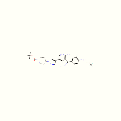 Cn1nc(-c2ccc(NSCC(F)(F)F)c(F)c2)c2c(N)ncc(-c3cnn(C4CCN(C(=O)OC(C)(C)C)CC4)c3)c21